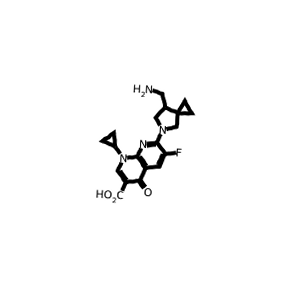 NCC1CN(c2nc3c(cc2F)c(=O)c(C(=O)O)cn3C2CC2)CC12CC2